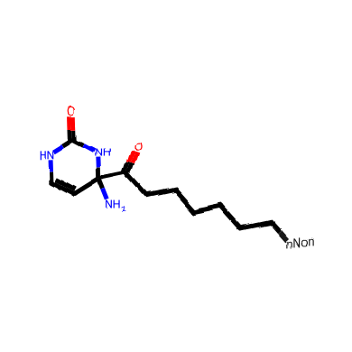 CCCCCCCCCCCCCCCC(=O)C1(N)C=CNC(=O)N1